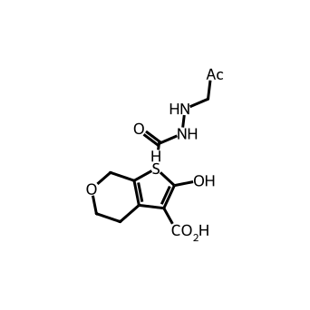 CC(=O)CNNC(=O)[SH]1C(O)=C(C(=O)O)C2=C1COCC2